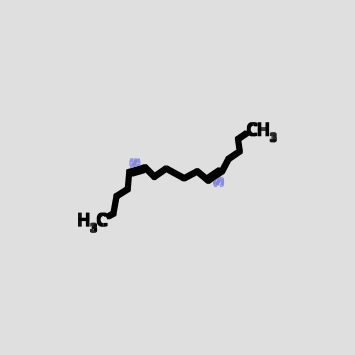 CCCC/C=C\CCCC/C=C\CCCC